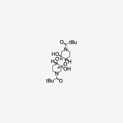 CC(C)(C)C(=O)N1CC[C@@H]2O[C@]3(O)CN(C(=O)C(C)(C)C)CC[C@@H]3O[C@]2(O)C1